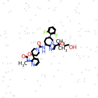 CN1C(=O)OC2(CCN(C(=O)N[C@@H]3CC[C@@H](c4c(F)cccc4F)Cn4c(C(C)(C)OCCO)cnc43)CC2)c2cccnc21